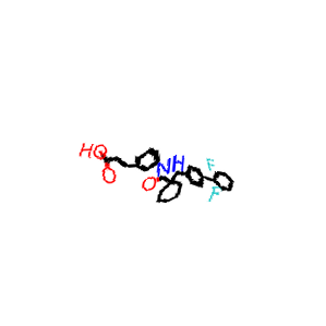 O=C(O)/C=C/c1cccc(NC(=O)C2(Cc3ccc(-c4c(F)cccc4F)cc3)CCCCC2)c1